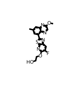 COc1cnc2c(-c3nc4cc(F)c(OCCO)nc4s3)cc(C)cc2n1